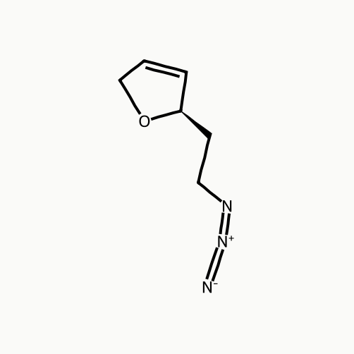 [N-]=[N+]=NCC[C@@H]1C=CCO1